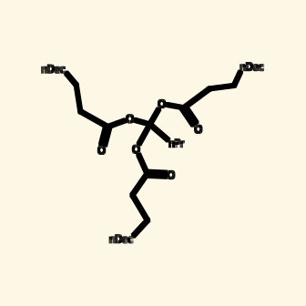 CCCCCCCCCCCCC(=O)OC(CCC)(OC(=O)CCCCCCCCCCCC)OC(=O)CCCCCCCCCCCC